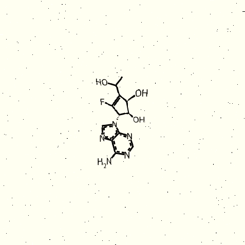 CC(O)C1=C(F)[C@@H](n2cnc3c(N)ncnc32)[C@H](O)[C@@H]1O